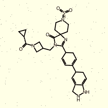 O=C(C1CC1)N1CC(CN2C(=O)C3(CCN([SH](=O)=O)CC3)N=C2C2C=CC(C3C=C4CNNC4=CC3)=CC2)C1